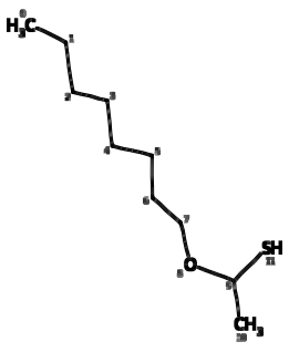 CCCCCCCCOC(C)S